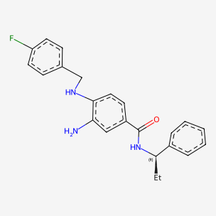 CC[C@@H](NC(=O)c1ccc(NCc2ccc(F)cc2)c(N)c1)c1ccccc1